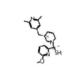 COc1cccc([C@](C)(S)N2CCC[C@H](Cc3cc(C)nc(C)c3)C2)n1